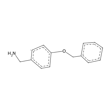 NCc1[c]cc(OCc2ccccc2)cc1